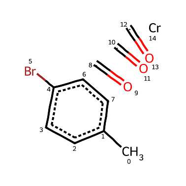 Cc1ccc(Br)cc1.[C]=O.[C]=O.[C]=O.[Cr]